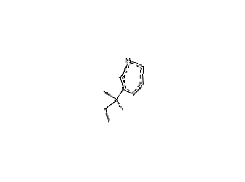 CCC(C)(C)c1[c]nccc1